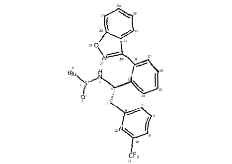 CC(C)(C)[S+]([O-])N[C@@H](Cc1cccc(C(F)(F)F)n1)c1ccccc1-c1noc2ccccc12